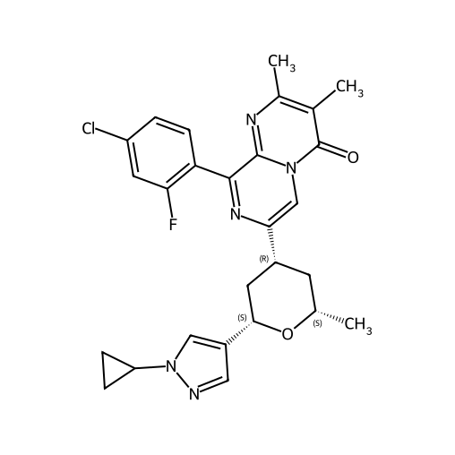 Cc1nc2c(-c3ccc(Cl)cc3F)nc([C@H]3C[C@@H](c4cnn(C5CC5)c4)O[C@@H](C)C3)cn2c(=O)c1C